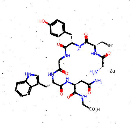 CC[C@H](C)[C@H](N)C(=O)N[C@@H](CC(C)C)C(=O)N[C@@H](Cc1ccc(O)cc1)C(=O)NCC(=O)N[C@@H](Cc1c[nH]c2ccccc12)C(=O)N[C@@H](CC(N)=O)C(=O)NCC(=O)O